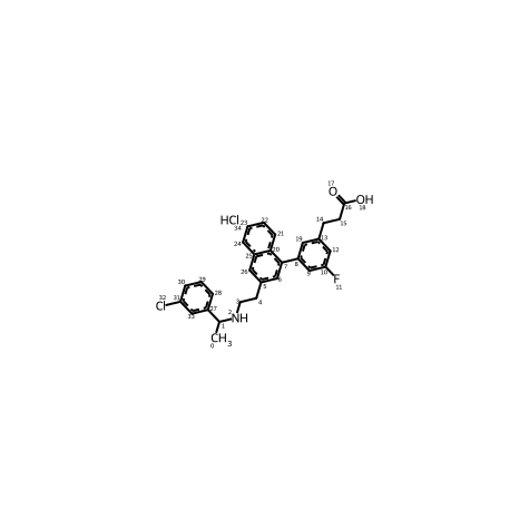 CC(NCCc1cc(-c2cc(F)cc(CCC(=O)O)c2)c2ccccc2c1)c1cccc(Cl)c1.Cl